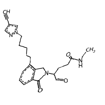 C#Cc1cnn(CCCCCc2cccc3c2CN(C(C=O)CCC(=O)NC)C3=O)c1